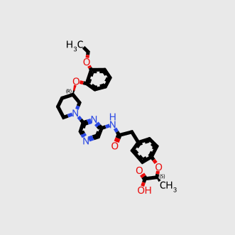 CCOc1ccccc1O[C@@H]1CCCN(c2cncc(NC(=O)Cc3ccc(O[C@@H](C)C(=O)O)cc3)n2)C1